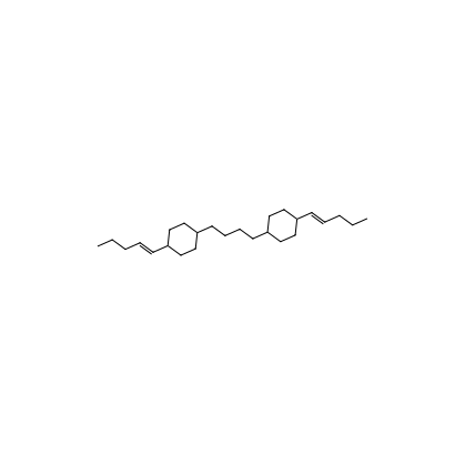 CCCC=CC1CCC(CCCCC2CCC(C=CCCC)CC2)CC1